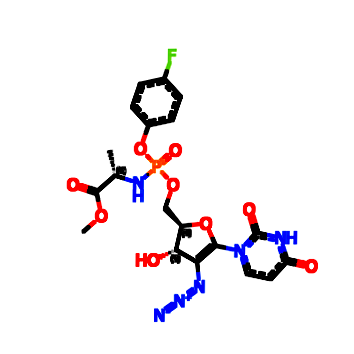 COC(=O)[C@H](C)NP(=O)(OC[C@H]1OC(n2ccc(=O)[nH]c2=O)=C(N=[N+]=[N-])[C@@H]1O)Oc1ccc(F)cc1